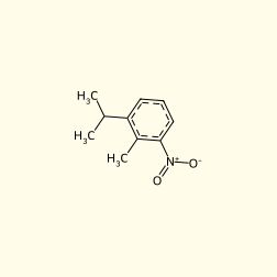 Cc1c(C(C)C)cccc1[N+](=O)[O-]